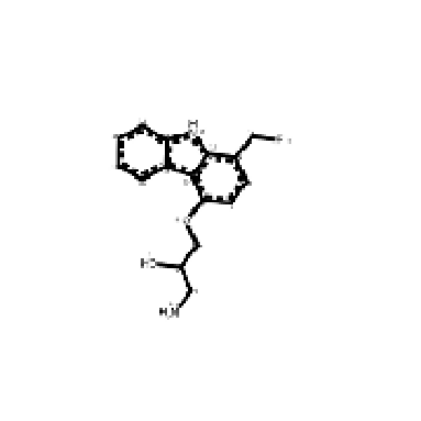 NCC(O)COc1ccc(CF)c2[nH]c3ccccc3c12